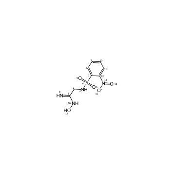 N=C(CNS(=O)(=O)c1ccccc1[N+](=O)[O-])NO